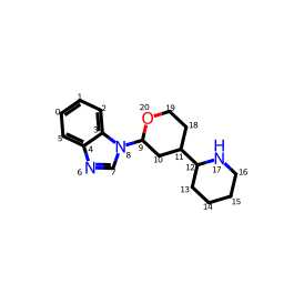 c1ccc2c(c1)ncn2C1CC(C2CCCCN2)CCO1